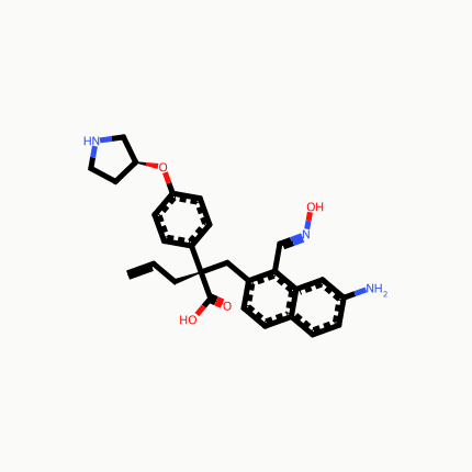 C=CC[C@@](Cc1ccc2ccc(N)cc2c1C=NO)(C(=O)O)c1ccc(O[C@H]2CCNC2)cc1